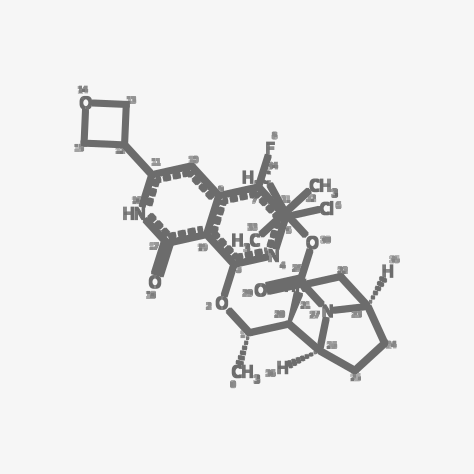 C[C@H](Oc1nc(Cl)c(F)c2cc(C3COC3)[nH]c(=O)c12)[C@H]1NC[C@H]2CC[C@@H]1N2C(=O)OC(C)(C)C